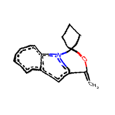 C=C1OC2(CCC2)n2c1cc1ccccc12